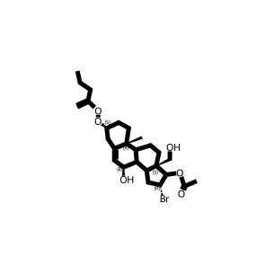 C=C(CCC)OO[C@H]1CC[C@@]2(C)C(=C[C@H](O)C3C4C[C@@H](Br)C(OC(C)=O)[C@@]4(CO)CCC32)C1